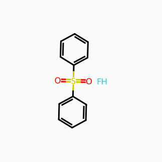 F.O=S(=O)(c1ccccc1)c1ccccc1